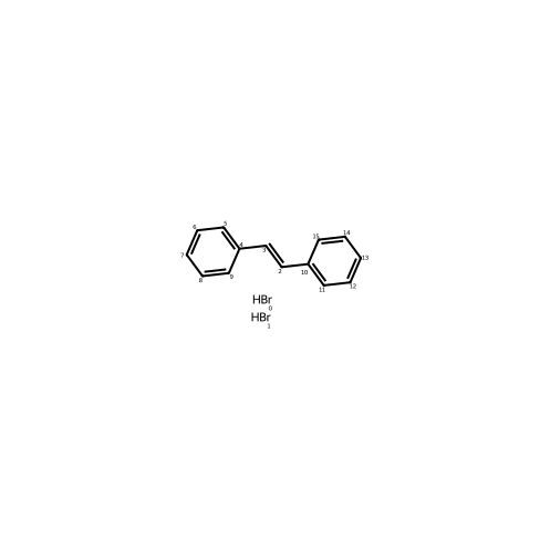 Br.Br.C(=Cc1ccccc1)c1ccccc1